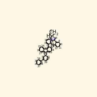 C=CC/C=C\C(=C/C)c1ccccc1-n1c2ccccc2c2c3c4ccccc4n(C4C=C(c5ccccc5)C=CC4)c3ccc21